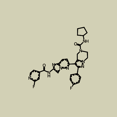 O=C(Nc1cn2nc(-c3c(-c4ccc(F)cc4)nn4c3CN(C(=O)NC3CCCC3)CC4)ccc2n1)c1ccnc(F)c1